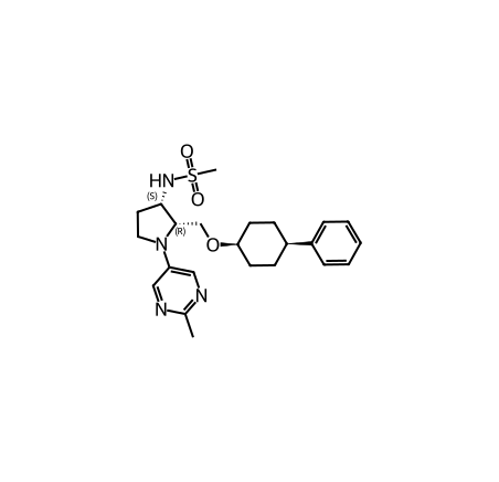 Cc1ncc(N2CC[C@H](NS(C)(=O)=O)[C@@H]2CO[C@H]2CC[C@@H](c3ccccc3)CC2)cn1